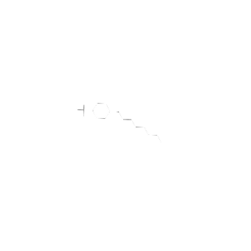 CCCCCCCC[C@H]1CC[C@H](C(F)(F)F)CC1